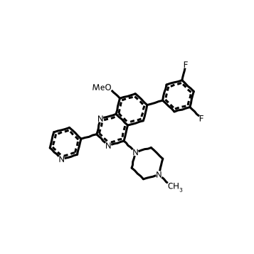 COc1cc(-c2cc(F)cc(F)c2)cc2c(N3CCN(C)CC3)nc(-c3cccnc3)nc12